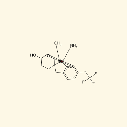 CN1C(=O)C2(N=C1N)c1cc(CC(F)(F)F)ccc1CC21CCC(O)CC1